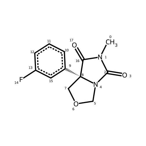 CN1C(=O)N2COC[C@@]2(c2cccc(F)c2)C1=O